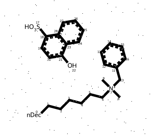 CCCCCCCCCCCCCCCC[N+](C)(C)Cc1ccccc1.O=S(=O)(O)c1ccc(O)c2ccccc12